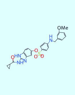 COc1cccc(CNc2ccc(S(=O)(=O)Oc3ccc4[nH]c(NC(=O)C5CC5)nc4c3)cc2)c1